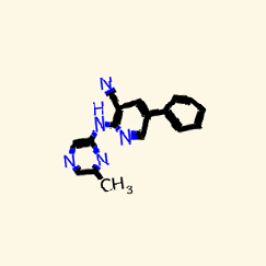 Cc1cncc(Nc2ncc(-c3ccccc3)cc2C#N)n1